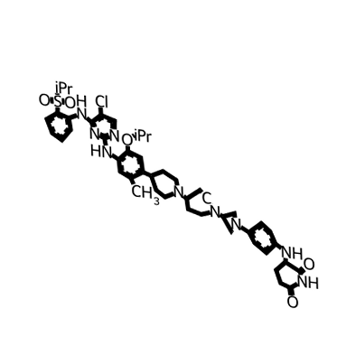 Cc1cc(Nc2ncc(Cl)c(Nc3ccccc3S(=O)(=O)C(C)C)n2)c(OC(C)C)cc1C1CCN(C2CCN(C3CN(c4ccc(NC5CCC(=O)NC5=O)cc4)C3)CC2)CC1